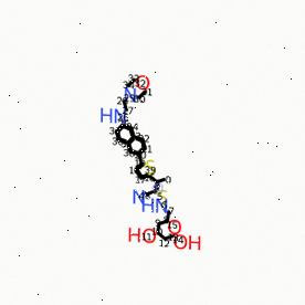 C/C(=C(/C#N)SNCC1CC(O)CC(O)O1)c1ccc(-c2ccc3cc(NCCN4CCOCC4)ccc3c2)s1